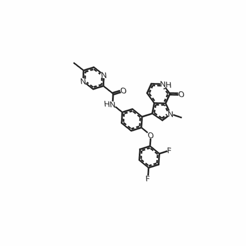 Cc1cnc(C(=O)Nc2ccc(Oc3ccc(F)cc3F)c(-c3cn(C)c4c(=O)[nH]ccc34)c2)cn1